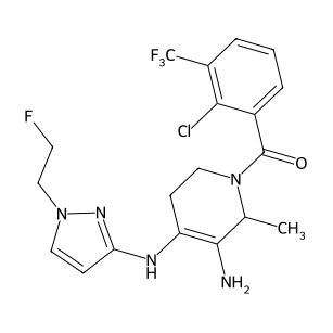 CC1C(N)=C(Nc2ccn(CCF)n2)CCN1C(=O)c1cccc(C(F)(F)F)c1Cl